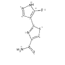 NC(=O)c1csc(-c2cn[nH]c2F)n1